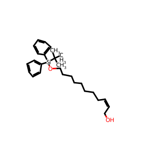 CC(C)(C)[Si](OCCCCCCCC/C=C\CO)(c1ccccc1)c1ccccc1